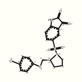 O=C1Nc2ccc(S(=O)(=O)N3CCC[C@H]3COc3ccc(Cl)cc3)cc2C1=O